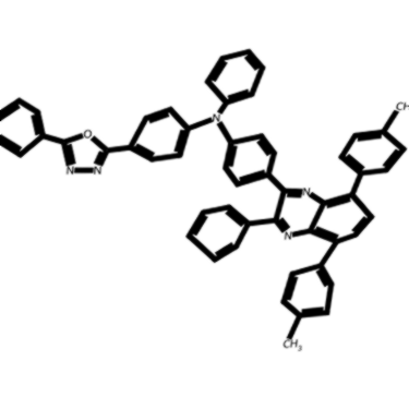 Cc1ccc(-c2ccc(-c3ccc(C)cc3)c3nc(-c4ccc(N(c5ccccc5)c5ccc(-c6nnc(-c7ccccc7)o6)cc5)cc4)c(-c4ccccc4)nc23)cc1